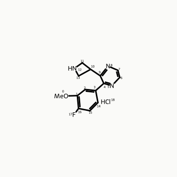 COc1cc(-c2nccnc2C2CNC2)ccc1F.Cl